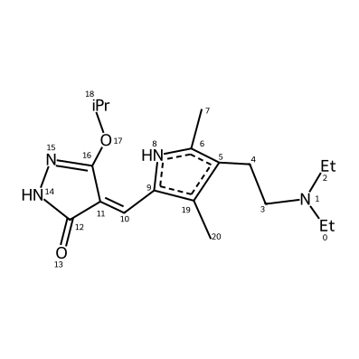 CCN(CC)CCc1c(C)[nH]c(C=C2C(=O)NN=C2OC(C)C)c1C